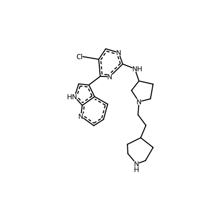 Clc1cnc(NC2CCN(CCC3CCNCC3)C2)nc1-c1c[nH]c2ncccc12